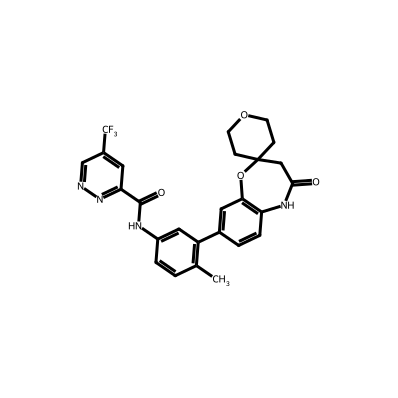 Cc1ccc(NC(=O)c2cc(C(F)(F)F)cnn2)cc1-c1ccc2c(c1)OC1(CCOCC1)CC(=O)N2